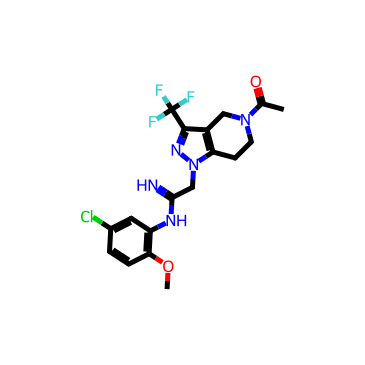 COc1ccc(Cl)cc1NC(=N)Cn1nc(C(F)(F)F)c2c1CCN(C(C)=O)C2